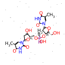 B[PH](O)(OC[C@H]1O[C@@H](n2cc(C)c(=O)[nH]c2=O)C[C@H]1O)O[C@@H]1C[C@H](n2cc(C)c(=O)[nH]c2=O)O[C@@H]1CO